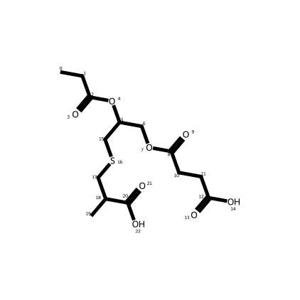 CCC(=O)OC(COC(=O)CCC(=O)O)CSCC(C)C(=O)O